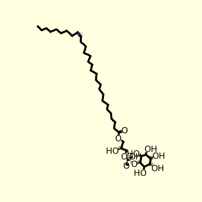 CCCCCCCC/C=C\CCCCCCCCCCCCCCCCCCCC(=O)OC[C@H](O)COP(=O)(O)O[C@@H]1C(O)C(O)[C@@H](O)[C@@H](O)C1O